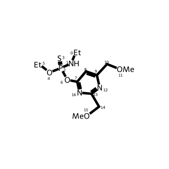 CCNP(=S)(OCC)Oc1cc(COC)nc(COC)n1